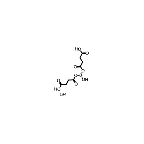 O=C(O)CCC(=O)OB(O)OC(=O)CCC(=O)O.[LiH]